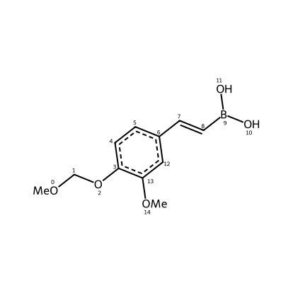 COCOc1ccc(C=CB(O)O)cc1OC